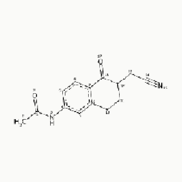 CC(=O)Nc1ccc2c(c1)CCC(CC#N)C2=O